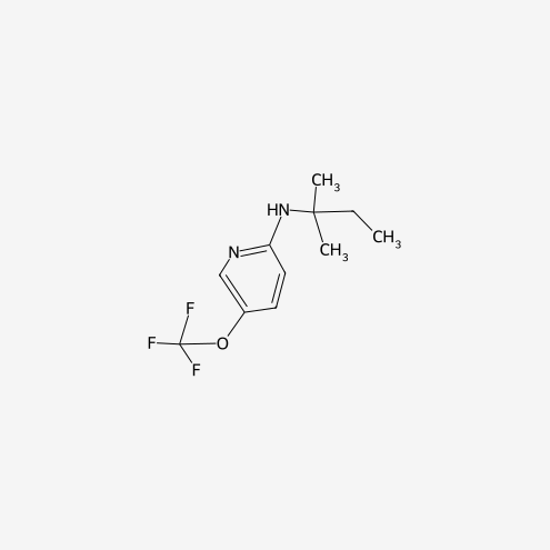 CCC(C)(C)Nc1ccc(OC(F)(F)F)cn1